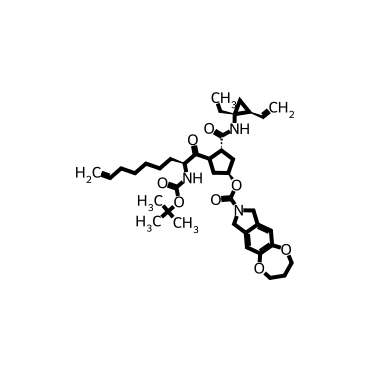 C=CCCCCC[C@H](NC(=O)OC(C)(C)C)C(=O)C1C[C@H](OC(=O)N2Cc3cc4c(cc3C2)OCCCO4)C[C@H]1C(=O)N[C@]1(CC)C[C@H]1C=C